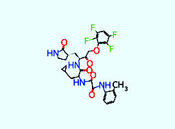 Cc1ccccc1NC(=O)C(=O)N[C@@H](CC1CC1)C(=O)N[C@@H](C[C@@H]1CCNC1=O)C(=O)COc1c(F)c(F)cc(F)c1F